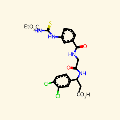 CCOC(=O)NC(=S)Nc1cccc(C(=O)NCC(=O)NC(CC(=O)O)c2ccc(Cl)c(Cl)c2)c1